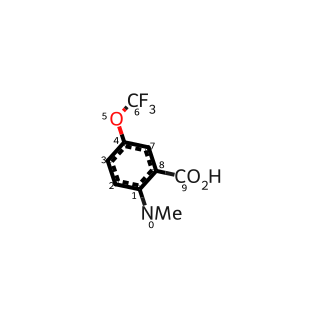 CNc1ccc(OC(F)(F)F)cc1C(=O)O